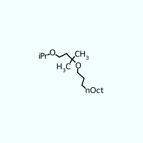 CCCCCCCCCCCOC(C)(C)CCOC(C)C